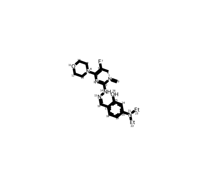 C=N/C(=N\C(=C(/C)F)N1CCOCC1)N/N=C\c1ccc(N(CC)CC)cc1O